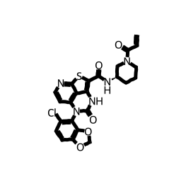 C=CC(=O)N1CCC[C@H](NC(=O)c2sc3nccc4c3c2NC(=O)N4c2c(Cl)ccc3c2OCO3)C1